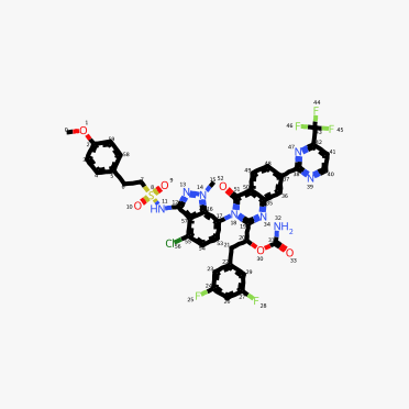 COc1ccc(CCS(=O)(=O)Nc2nn(C)c3c(-n4c(C(Cc5cc(F)cc(F)c5)OC(N)=O)nc5cc(-c6nccc(C(F)(F)F)n6)ccc5c4=O)ccc(Cl)c23)cc1